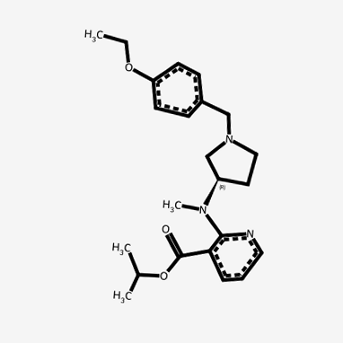 CCOc1ccc(CN2CC[C@@H](N(C)c3ncccc3C(=O)OC(C)C)C2)cc1